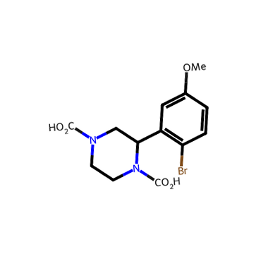 COc1ccc(Br)c(C2CN(C(=O)O)CCN2C(=O)O)c1